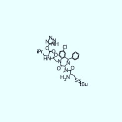 CC(C)C[C@H](NC(=O)CN1C(=O)C(N(C)C(=O)C(N)CSSC(C)(C)C)N=C(c2ccccc2)c2cc(Cl)ccc21)C(=O)Oc1nnn[nH]1